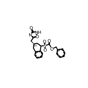 O=C(OCc1ccccc1)S(=O)(=O)C1C[C@H](Cc2nc(=O)[nH]o2)Cc2ccccc21